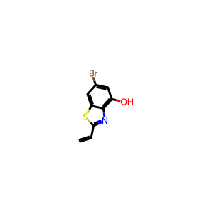 C=Cc1nc2c(O)cc(Br)cc2s1